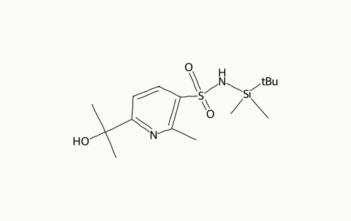 Cc1nc(C(C)(C)O)ccc1S(=O)(=O)N[Si](C)(C)C(C)(C)C